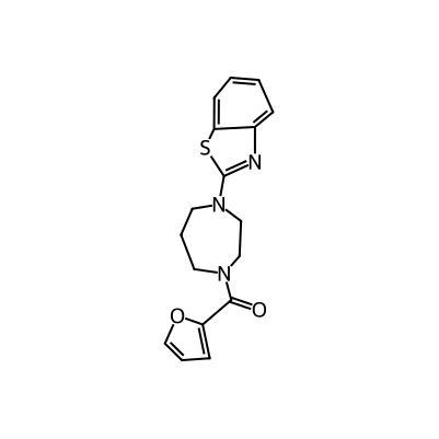 O=C(c1ccco1)N1CCCN(c2nc3ccccc3s2)CC1